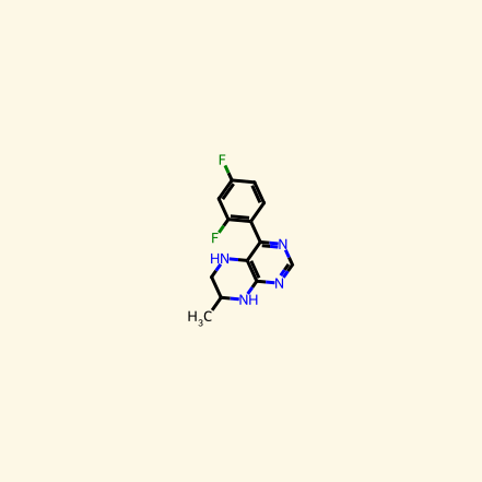 CC1CNc2c(ncnc2-c2ccc(F)cc2F)N1